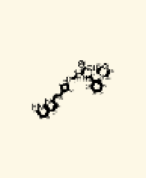 O=C(N[C@@H](CCOC1CC(CCc2ccc3c(n2)NCCC3)C1)C(=O)O)c1ccccc1N1CCOCC1